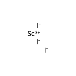 [I-].[I-].[I-].[Sc+3]